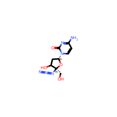 [N-]=[N+]=N[C@]1(CO)O[C@@H](n2ccc(N)nc2=O)CC1O